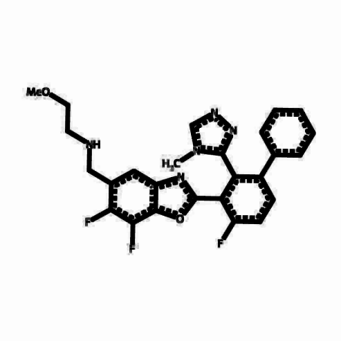 COCCNCc1cc2nc(-c3c(F)ccc(-c4ccccc4)c3-c3nncn3C)oc2c(F)c1F